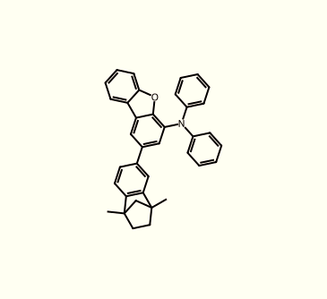 CC12CCC(C)(C1)c1cc(-c3cc(N(c4ccccc4)c4ccccc4)c4oc5ccccc5c4c3)ccc12